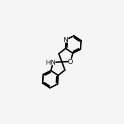 c1ccc2c(c1)CC1(Cc3ncccc3O1)N2